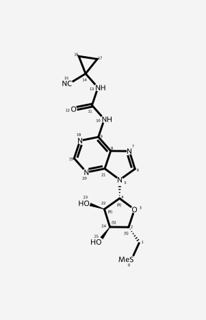 CSC[C@H]1O[C@@H](n2cnc3c(NC(=O)NC4(C#N)CC4)ncnc32)[C@H](O)[C@@H]1O